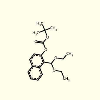 CCOC(OCC)c1c(OC(=O)OC(C)(C)C)ccc2ccccc12